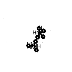 c1ccc(C2NC(c3ccccc3)NC(c3ccc(-c4ccc(C5Nc6c(c7ccccc7c7ncccc67)N5c5ccccc5)cc4)cc3)N2)cc1